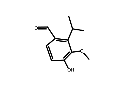 COc1c(O)ccc(C=O)c1C(C)C